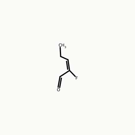 CC/C=C(/F)C=O